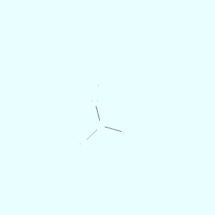 C[S+](C)[O-].[Ca+2].[H-].[H-]